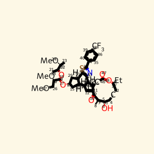 CC[C@H]1CCC[C@H](O)[C@@H](C)C(=O)C2=C[C@H]3[C@@H]4C[C@H](OC(OC(C)[C@@H](C)OC)[C@H](COC)OC)C[C@H]4c4sc(-c5ccc(C(F)(F)F)cc5)nc4[C@H]3[C@@H]2CC(=O)O1